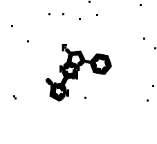 Cn1ccnc1-c1nc2n(n1)[C@H](c1ccccc1)C[C@@H]2F